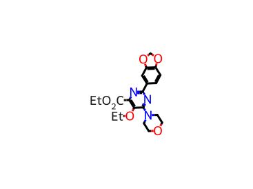 CCOC(=O)c1nc(-c2ccc3c(c2)OCO3)nc(N2CCOCC2)c1OCC